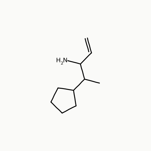 C=CC(N)C(C)C1CCCC1